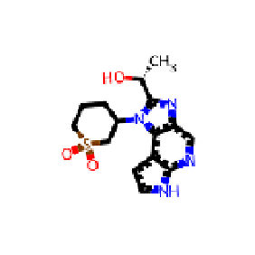 C[C@@H](O)c1nc2cnc3[nH]ccc3c2n1C1CCCS(=O)(=O)C1